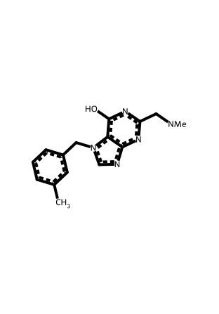 CNCc1nc(O)c2c(ncn2Cc2cccc(C)c2)n1